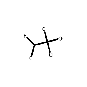 [O]C(Cl)(Cl)C(F)Cl